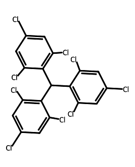 Clc1cc(Cl)c(C(c2c(Cl)cc(Cl)cc2Cl)c2c(Cl)cc(Cl)cc2Cl)c(Cl)c1